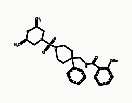 C=C1CN(S(=O)(=O)N2CCC(CNC(=O)c3ccccc3OC)(c3ccccc3)CC2)CC(=C)O1